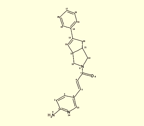 Nc1ccc(/C=C/C(=O)N2CC3C=C(c4ccccc4)CC3C2)cn1